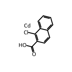 O=C(O)c1ccc2ccccc2c1Cl.[Cd]